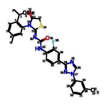 COC(C)c1ccc(C)cc1N1C(=O)CSC1=NC(=O)Nc1ccc(-c2ncn(-c3cccc(C(F)(F)F)c3)n2)cc1F